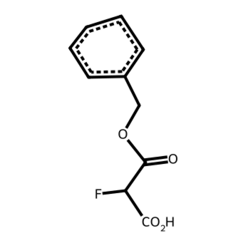 O=C(O)C(F)C(=O)OCc1ccccc1